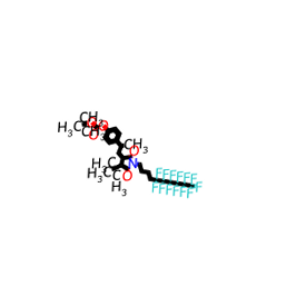 CC(CC1C(=O)N(CCCCC(F)(F)C(F)(F)C(F)(F)C(F)(F)C(F)(F)C(F)(F)F)C(=O)C1C(C)(C)C)c1ccc(OC(=O)OC(C)(C)C)cc1